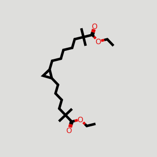 CCOC(=O)C(C)(C)CCCCCC1CC1CCCCC(C)(C)C(=O)OCC